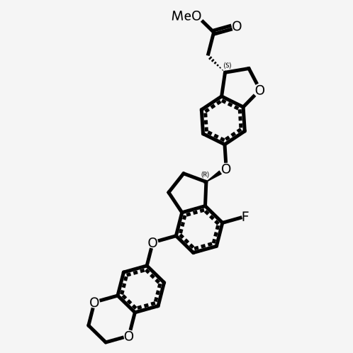 COC(=O)C[C@@H]1COc2cc(O[C@@H]3CCc4c(Oc5ccc6c(c5)OCCO6)ccc(F)c43)ccc21